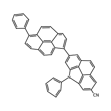 N#Cc1cc2ccc3cc(-c4ccc5ccc6c(-c7ccccc7)ccc7ccc4c5c76)cc4c3c2c(c1)n4-c1ccccc1